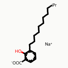 CC(C)CCCCCCCCCc1cccc(C(=O)[O-])c1O.[Na+]